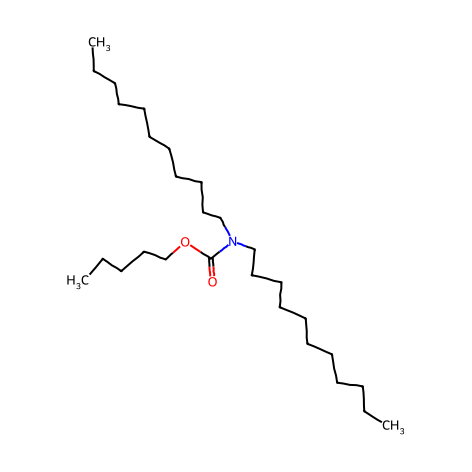 CCCCCCCCCCCN(CCCCCCCCCCC)C(=O)OCCCCC